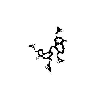 CCc1c(OC2CO2)ccc2c(Cc3c(OC4CO4)ccc4c(C)cc(OC5CO5)cc34)cc(OC3CO3)cc12